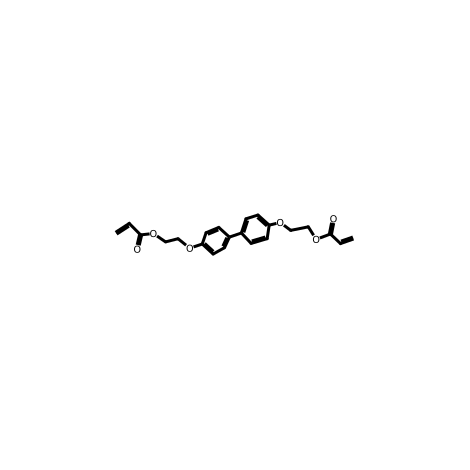 C=CC(=O)OCCOc1ccc(-c2ccc(OCCOC(=O)C=C)cc2)cc1